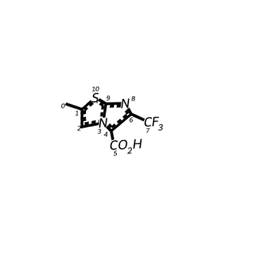 Cc1cn2c(C(=O)O)c(C(F)(F)F)nc2s1